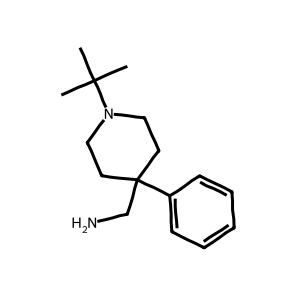 CC(C)(C)N1CCC(CN)(c2ccccc2)CC1